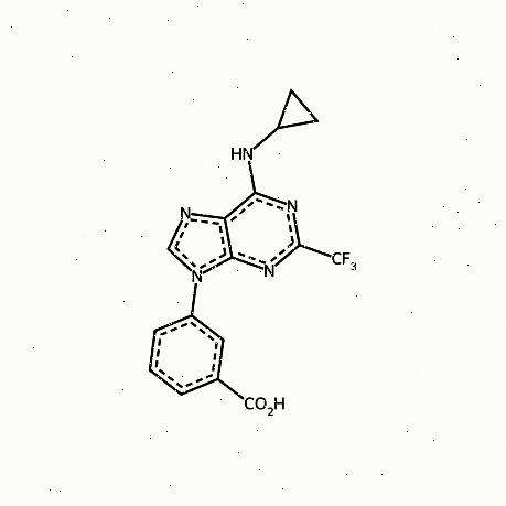 O=C(O)c1cccc(-n2cnc3c(NC4CC4)nc(C(F)(F)F)nc32)c1